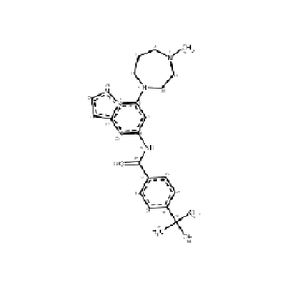 CN1CCCN(c2cc(NC(=O)c3ccc(C(C)(C)O)cc3)nc3ccnn23)CC1